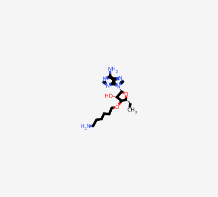 CC[C@H]1O[C@@H](n2cnc3c(N)ncnc32)[C@@H](O)C1OCCCCCCN